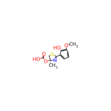 COc1cccc(C2=N[C@@](C)(OC(=O)O)CS2)c1O